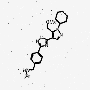 COCc1c(-c2nc(-c3ccc(CNC(C)C)cc3)no2)cnn1C1CCCCC1